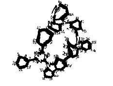 c1ccc(-c2nc(-c3ccccc3)nc(-n3c4ccccc4c4ccc(-c5ccc6c(c5)c5ccccc5n6-c5cccc(-n6c7cccnc7c7ncccc76)c5)cc43)n2)cc1